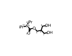 CC(C)N(C(=O)OCC(CO)CO)C(C)C